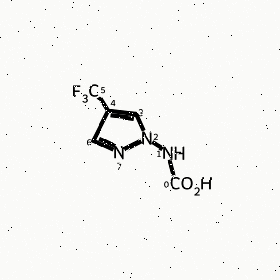 O=C(O)Nn1cc(C(F)(F)F)cn1